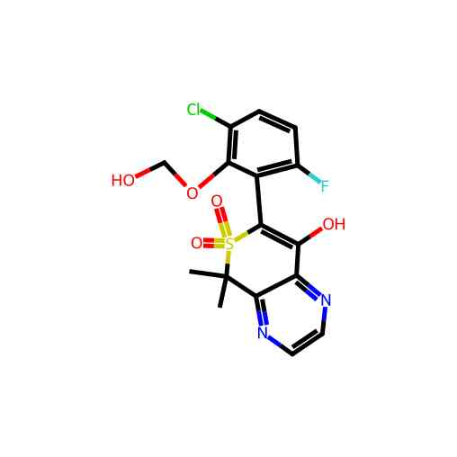 CC1(C)c2nccnc2C(O)=C(c2c(F)ccc(Cl)c2OCO)S1(=O)=O